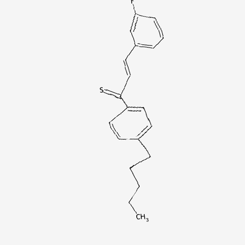 CCCCCc1ccc(C(=S)C=Cc2cccc(F)c2)cc1